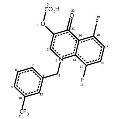 O=C(O)Oc1cn(Cc2cccc(C(F)(F)F)c2)c2c(F)ccc(F)c2c1=O